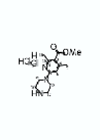 COC(=O)c1c(C)cc(N2CCNCC2)nc1C.Cl.Cl